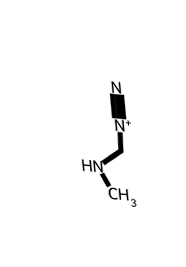 CNC[N+]#N